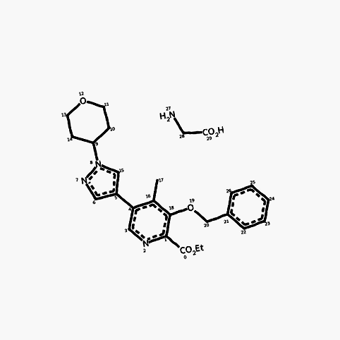 CCOC(=O)c1ncc(-c2cnn(C3CCOCC3)c2)c(C)c1OCc1ccccc1.NCC(=O)O